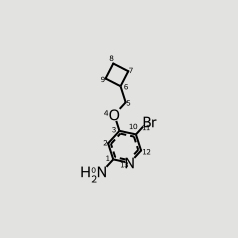 Nc1cc(OCC2CCC2)c(Br)cn1